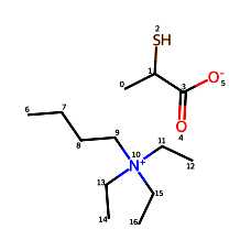 CC(S)C(=O)[O-].CCCC[N+](CC)(CC)CC